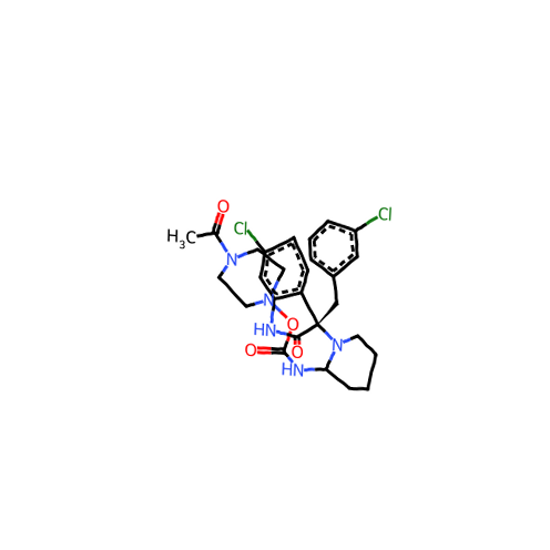 CC(=O)N1CCN(OC(=O)NC2CCCCN2[C@]2(Cc3cccc(Cl)c3)C(=O)Nc3cc(Cl)ccc32)CC1